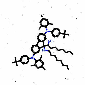 CCCCCCCCNC1(C(N)CCCCCCC)c2cc(N(c3ccc(C(C)(C)C)cc3)c3c(C)cc(C)cc3C)ccc2-c2ccc(N(c3ccc(C(C)(C)C)cc3)c3c(C)cc(C)cc3C)cc21